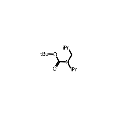 CC(C)CN(C(=O)OC(C)(C)C)C(C)C